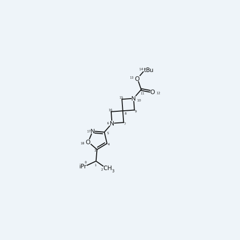 CC(C)C(C)c1cc(N2CC3(CN(C(=O)OC(C)(C)C)C3)C2)no1